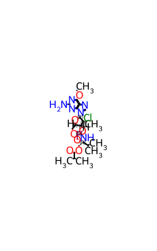 CCOc1nc(N)nc2c1ncn2[C@@H]1O[C@@H]2CO[P@@](=O)(N[C@@H](COC(=O)C(C)C)C(C)C)O[C@H]2[C@@]1(C)Cl